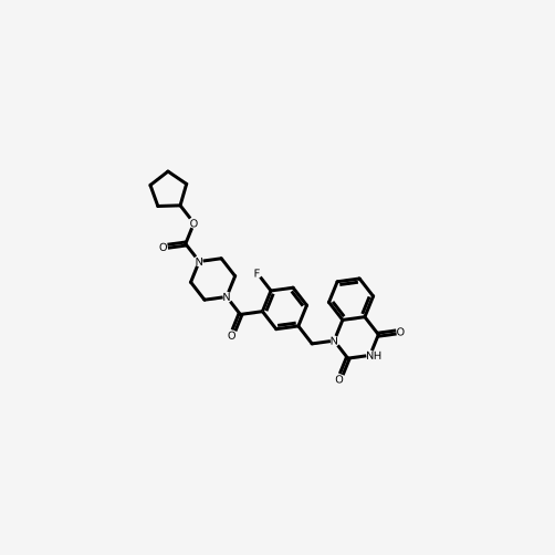 O=C(OC1CCCC1)N1CCN(C(=O)c2cc(Cn3c(=O)[nH]c(=O)c4ccccc43)ccc2F)CC1